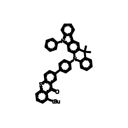 CC(C)(C)c1cccc2sc3ccc(-c4ccc(N5c6ccccc6C(C)(C)c6cc7c8ccccc8n(-c8ccccc8)c7cc65)cc4)cc3c(=O)c12